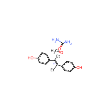 C=O.CC/C(=C(/CC)c1ccc(O)cc1)c1ccc(O)cc1.NC(N)=O